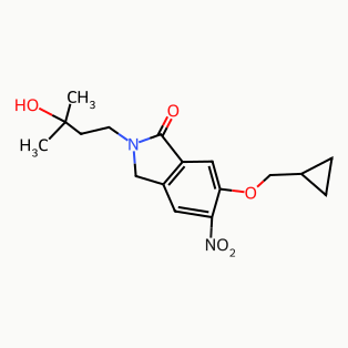 CC(C)(O)CCN1Cc2cc([N+](=O)[O-])c(OCC3CC3)cc2C1=O